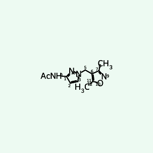 CC(=O)Nc1ccn(Cc2c(C)noc2C)n1